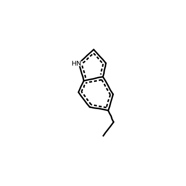 CCc1ccc2[nH]ccc2c1